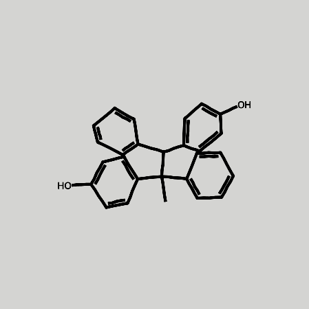 CC(c1ccccc1)(c1ccc(O)cc1)C(c1ccccc1)c1ccc(O)cc1